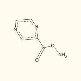 NOC(=O)c1cnccn1